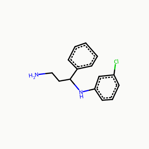 NCCC(Nc1cccc(Cl)c1)c1ccccc1